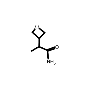 CC(C(N)=O)C1COC1